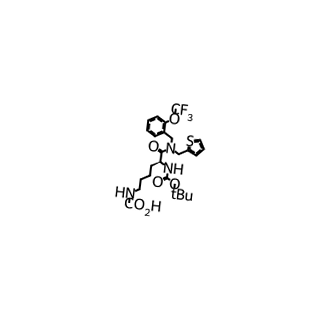 CC(C)(C)OC(=O)N[C@@H](CCCCNC(=O)O)C(=O)N(Cc1cccs1)Cc1ccccc1OC(F)(F)F